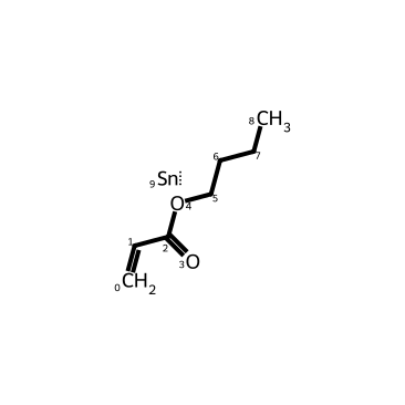 C=CC(=O)OCCCC.[Sn]